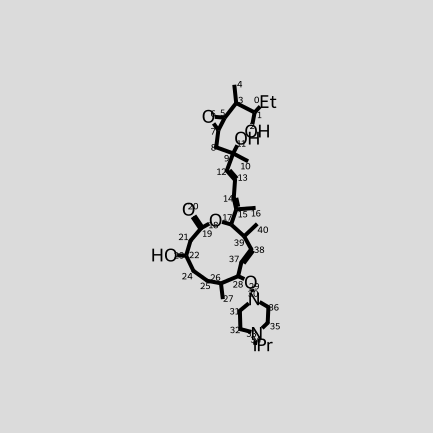 CCC(O)C(C)C1OC1CC(C)(O)/C=C/C=C(\C)C1OC(=O)CC(O)CCC(C)C(ON2CCN(C(C)C)CC2)/C=C/C1C